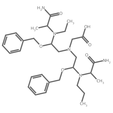 CCCN(C(CN(CC(=O)O)CC(OCc1ccccc1)N(CC)C(C)C(N)=O)OCc1ccccc1)C(C)C(N)=O